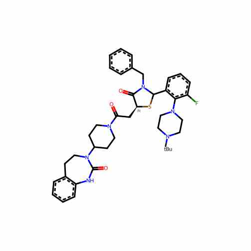 CC(C)(C)N1CCN(c2c(F)cccc2C2S[C@@H](CC(=O)N3CCC(N4CCc5ccccc5NC4=O)CC3)C(=O)N2Cc2ccccc2)CC1